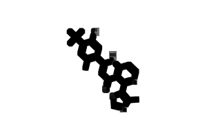 Cc1cc(C(C)(C)C)c(Cl)cc1-c1cc(=O)c2c(-c3ocnc3C)nccc2[nH]1